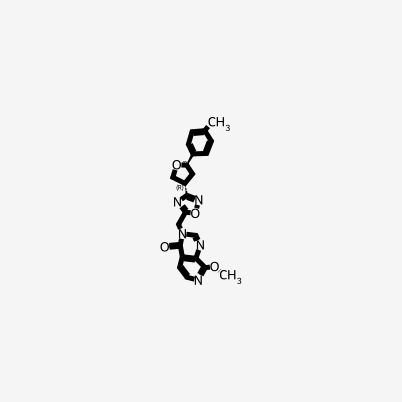 COc1nccc2c(=O)n(Cc3nc([C@@H]4CO[C@@H](c5ccc(C)cc5)C4)no3)cnc12